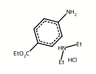 CCNCC.CCOC(=O)c1ccc(N)cc1.Cl